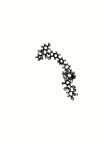 [2H]C1([2H])N(CC2CCN(c3ccc(-c4ccc5c(c4)C(=O)N(C(C(=O)Nc4nccs4)c4cc(F)ccc4O)C5)nn3)CC2)C([2H])([2H])C([2H])([2H])N(c2cc(F)c3c(c2)C(=O)N(C2CCC(=O)NC2=O)C3=O)C1([2H])[2H]